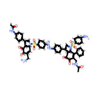 CC(=O)NCC1=C(c2ccccc2)c2c(c(-c3ccc(NNc4ccc(S(=O)(=O)n5cc(-c6ccc(NC(C)=O)cc6)c6c5C=C(CN)C(=O)C6=O)cc4)cc3)cn2S(=O)(=O)c2ccc(N)cc2)C(=O)C1=O